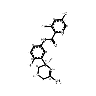 C[C@@]1(c2cc(NC(=O)c3ncc(Cl)cc3Cl)ccc2F)COCC(N)=N1